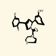 O=C(N1CCOCC1)N1CC(c2cc(F)ccc2F)=CC1c1cccc(O)c1